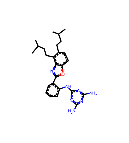 CC(C)CCc1ccc2oc(-c3ccccc3Nc3nc(N)nc(N)n3)nc2c1CCC(C)C